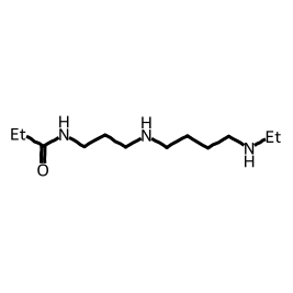 CCNCCCCNCCCNC(=O)CC